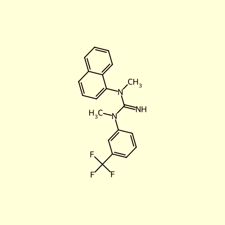 CN(C(=N)N(C)c1cccc2ccccc12)c1cccc(C(F)(F)F)c1